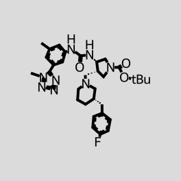 Cc1cc(NC(=O)N[C@@H]2CN(C(=O)OC(C)(C)C)C[C@@H]2CN2CCC[C@@H](Cc3ccc(F)cc3)C2)cc(-c2nnnn2C)c1